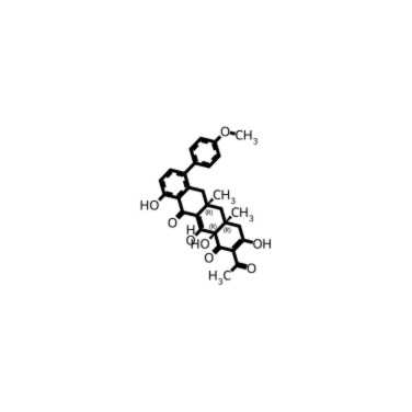 COc1ccc(-c2ccc(O)c3c2C[C@]2(C)C[C@]4(C)CC(O)=C(C(C)=O)C(=O)[C@]4(O)C(O)=C2C3=O)cc1